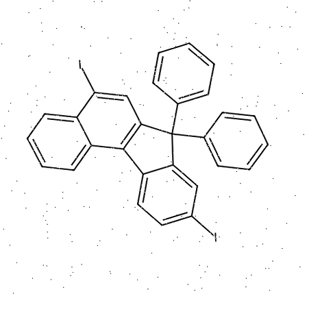 Ic1ccc2c(c1)C(c1ccccc1)(c1ccccc1)c1cc(I)c3ccccc3c1-2